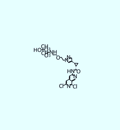 CC(C)(O)OC(=O)NCCOCCn1cc([C@H]2C[C@@H]2C(=O)Nc2cc3cc(Cl)nc(Cl)c3cn2)cn1